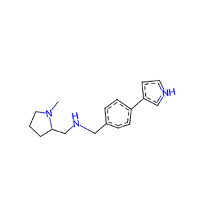 CN1CCCC1CNCc1ccc(-c2cc[nH]c2)cc1